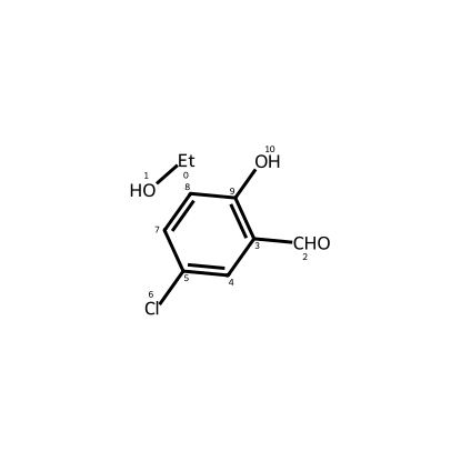 CCO.O=Cc1cc(Cl)ccc1O